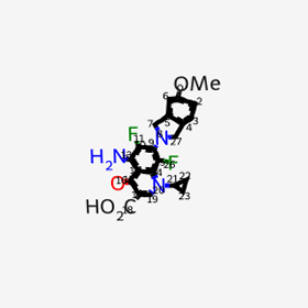 COc1ccc2c(c1)CN(c1c(F)c(N)c3c(=O)c(C(=O)O)cn(C4CC4)c3c1F)C2